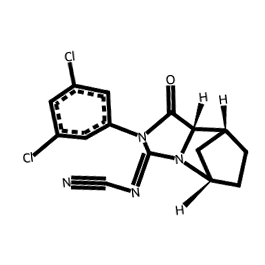 N#CN=C1N(c2cc(Cl)cc(Cl)c2)C(=O)[C@@H]2[C@@H]3CC[C@@H](C3)N12